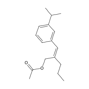 CCCC(=Cc1cccc(C(C)C)c1)COC(C)=O